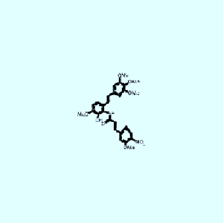 COc1cc(/C=C/C(=O)Nc2c(/C=C/c3cc(OC)c(OC)c(OC)c3)ccc(OC)c2O)ccc1[N+](=O)[O-]